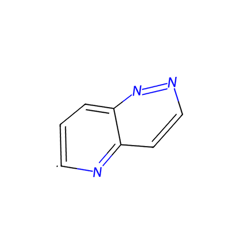 [c]1ccc2nnccc2n1